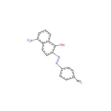 Nc1cccc2c(O)c(N=Nc3ccc([N+](=O)[O-])cc3)ccc12